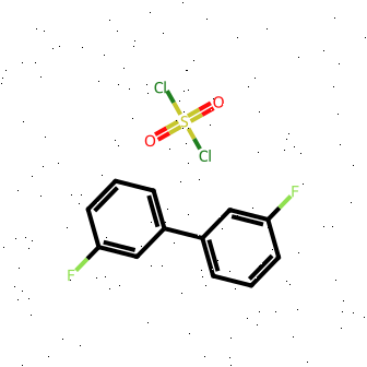 Fc1cccc(-c2cccc(F)c2)c1.O=S(=O)(Cl)Cl